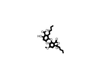 CCCCCc1c(Oc2cc(OC)cc3c2C(=O)OC3(O)CCCC)c(O)cc(O)c1C(=O)O